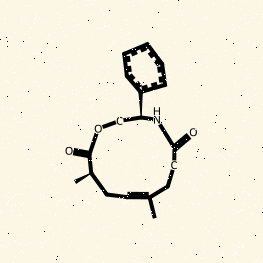 CC1=CC[C@@H](C)C(=O)OC[C@@H](c2ccccc2)NC(=O)CC1